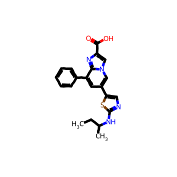 CCC(C)Nc1ncc(-c2cc(-c3ccccc3)c3nc(C(=O)O)cn3c2)s1